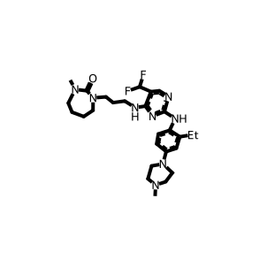 CCc1cc(N2CCN(C)CC2)ccc1Nc1ncc(C(F)F)c(NCCCN2CCCCN(C)C2=O)n1